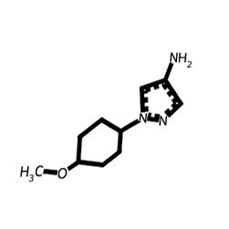 COC1CCC(n2cc(N)cn2)CC1